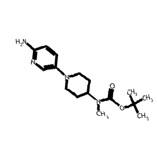 CN(C(=O)OC(C)(C)C)C1CCN(c2ccc(N)nc2)CC1